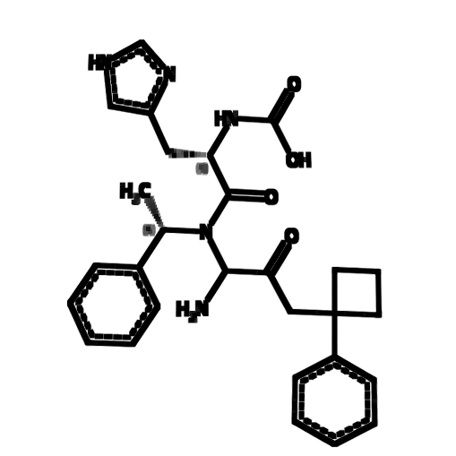 C[C@@H](c1ccccc1)N(C(=O)[C@H](Cc1c[nH]cn1)NC(=O)O)C(N)C(=O)CC1(c2ccccc2)CCC1